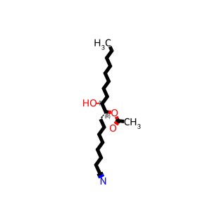 CCCCCCCC[C@@H](O)[C@@H](CCCCCCCC#N)OC(C)=O